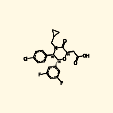 O=C(O)C[C@H]1O[C@H](c2cc(F)cc(F)c2)[C@@H](c2ccc(Cl)cc2)N(CC2CC2)C1=O